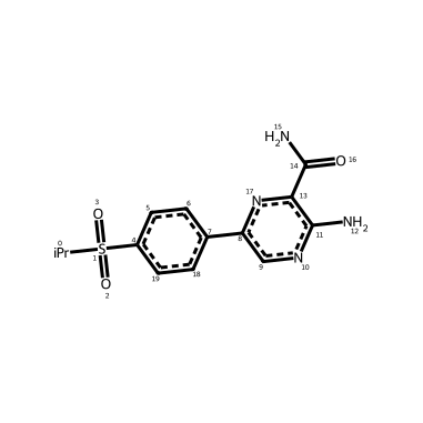 CC(C)S(=O)(=O)c1ccc(-c2cnc(N)c(C(N)=O)n2)cc1